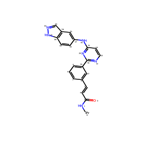 CC(C)NC(=O)/C=C/c1cccc(-c2nccc(Nc3ccc4[nH]ncc4c3)n2)c1